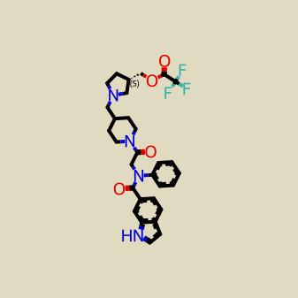 O=C(CN(C(=O)c1ccc2cc[nH]c2c1)c1ccccc1)N1CCC(CN2CC[C@H](COC(=O)C(F)(F)F)C2)CC1